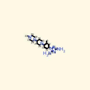 Cc1cc(-n2nc(N)nc2N)ccc1N1CCC(N2CCN(C)CC2)CC1